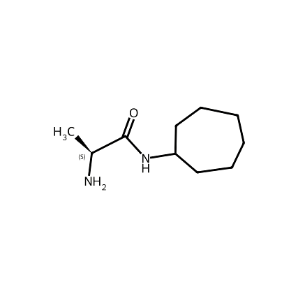 C[C@H](N)C(=O)NC1CCCCCC1